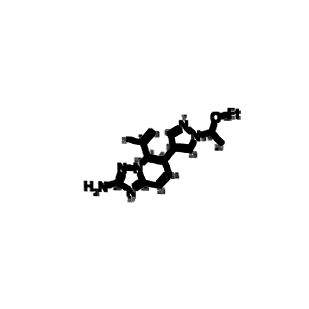 C=C(C)c1c(-c2cnn(C(C)OCC)c2)ccc2nc(N)nn12